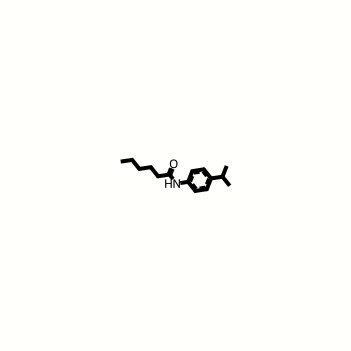 CCCCCC(=O)Nc1ccc(C(C)C)cc1